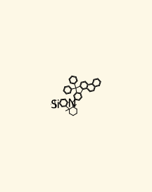 CC12CCCCC1(C)N(c1ccc3c(c1)C(c1ccccc1)(c1ccccc1)c1ccc4c(ccc5ccccc54)c1-3)c1ccc([Si](C)(C)C)cc12